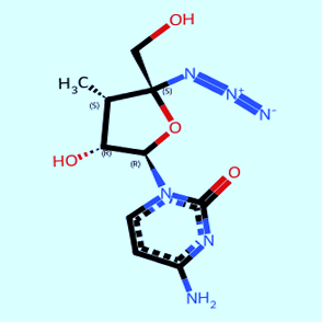 C[C@H]1[C@@H](O)[C@H](n2ccc(N)nc2=O)O[C@@]1(CO)N=[N+]=[N-]